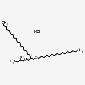 CCCCCCCCCCCCCCCCOCC(COCC(O)CN)OCCCCCCCCCCCCCCCC.Cl